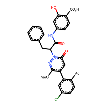 COc1nn(C(Cc2ccccc2)C(=O)Nc2ccc(C(=O)O)c(O)c2)c(=O)cc1-c1cc(Cl)ccc1C(C)=O